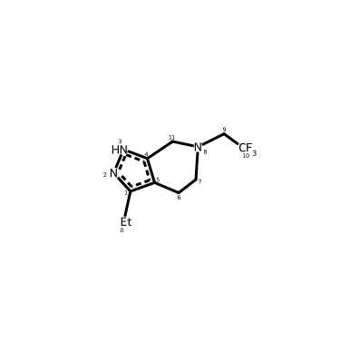 CCc1n[nH]c2c1CCN(CC(F)(F)F)C2